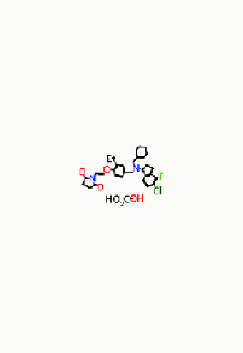 CCc1cc(CN(CC2CCCCC2)[C@H]2CCc3c2ccc(Cl)c3F)ccc1OCCN1C(=O)CCC1=O.O=C(O)O